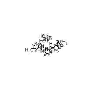 Cc1cnc2[nH]nc(Nc3ccnc(Nc4cccc(S(C)(=O)=O)c4)n3)c2c1.O=C(O)C(F)(F)F